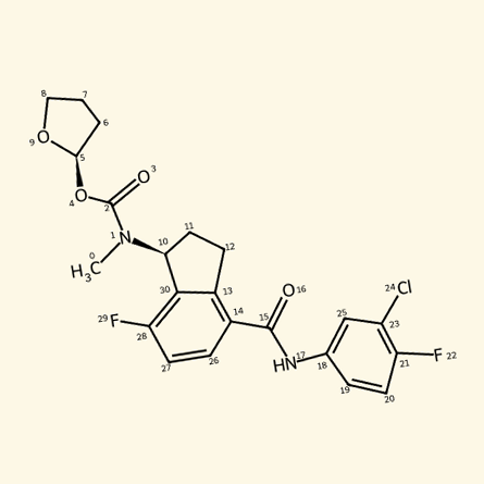 CN(C(=O)O[C@@H]1CCCO1)[C@H]1CCc2c(C(=O)Nc3ccc(F)c(Cl)c3)ccc(F)c21